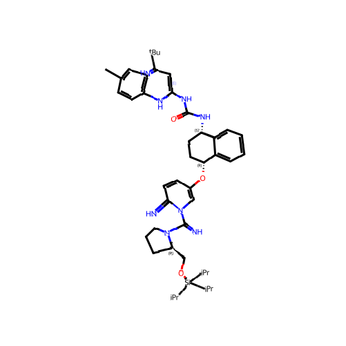 Cc1ccc(N/C(=C\C(=N)C(C)(C)C)NC(=O)N[C@H]2CC[C@@H](Oc3ccc(=N)n(C(=N)N4CCC[C@@H]4CO[Si](C(C)C)(C(C)C)C(C)C)c3)c3ccccc32)cc1